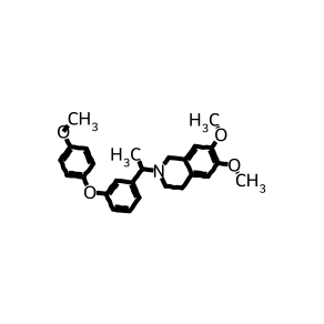 COc1ccc(Oc2cccc(C(C)N3CCc4cc(OC)c(OC)cc4C3)c2)cc1